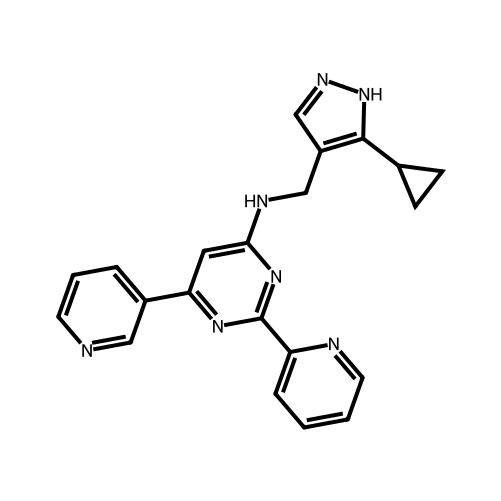 c1ccc(-c2nc(NCc3cn[nH]c3C3CC3)cc(-c3cccnc3)n2)nc1